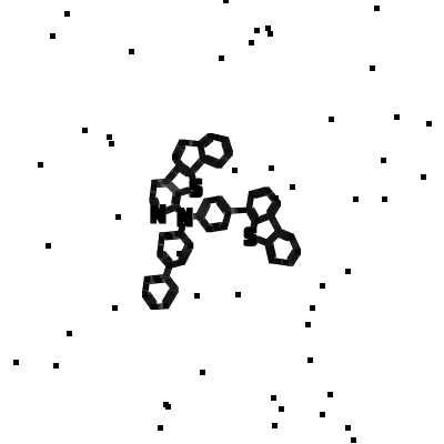 c1ccc(-c2ccc(N(c3ccc(-c4cccc5c4sc4ccccc45)cc3)c3nccc4c3sc3c5ccccc5ccc43)cc2)cc1